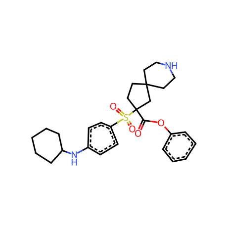 O=C(Oc1ccccc1)C1(S(=O)(=O)c2ccc(NC3CCCCC3)cc2)CCC2(CCNCC2)C1